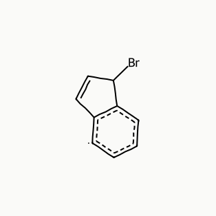 BrC1C=Cc2[c]cccc21